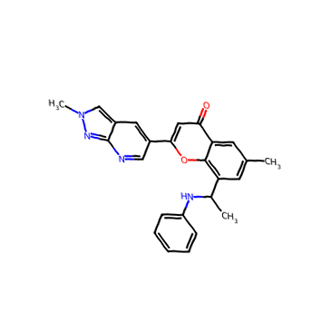 Cc1cc(C(C)Nc2ccccc2)c2oc(-c3cnc4nn(C)cc4c3)cc(=O)c2c1